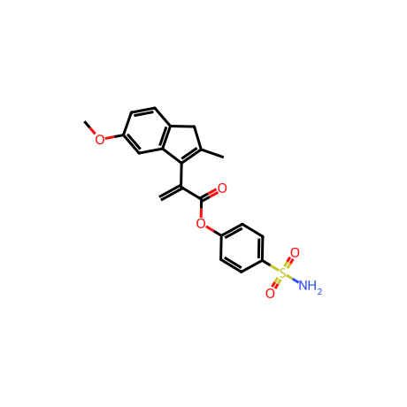 C=C(C(=O)Oc1ccc(S(N)(=O)=O)cc1)C1=C(C)Cc2ccc(OC)cc21